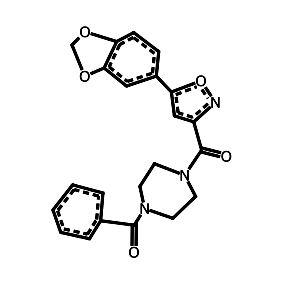 O=C(c1ccccc1)N1CCN(C(=O)c2cc(-c3ccc4c(c3)OCO4)on2)CC1